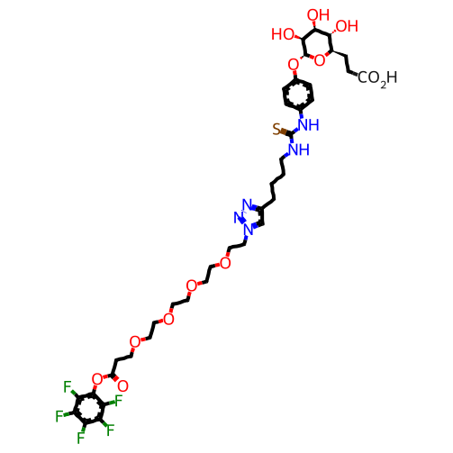 O=C(O)CC[C@H]1O[C@H](Oc2ccc(NC(=S)NCCCCc3cn(CCOCCOCCOCCOCCC(=O)Oc4c(F)c(F)c(F)c(F)c4F)nn3)cc2)[C@@H](O)[C@@H](O)[C@@H]1O